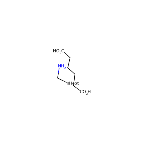 CCCCCCCCN.O=C(O)CCCCC(=O)O